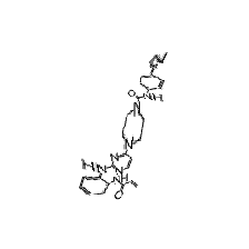 C=CC(=O)Nc1ccccc1Nc1nccc(N2CCN(C(=O)Nc3ccc(C#N)cc3)CC2)n1